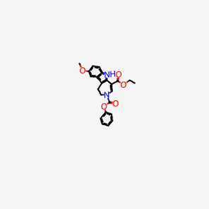 CCOC(=O)C1=CN(C(=O)Oc2ccccc2)CCc2c1[nH]c1ccc(OC)cc21